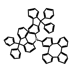 c1ccc(C2(c3ccccc3)c3ccccc3-c3ccc(N(c4ccc5c(c4)-c4ccccc4-c4ccccc4-c4ccccc4-5)c4cccc5c4-c4ccccc4C5(c4ccccc4)c4ccccc4)cc32)cc1